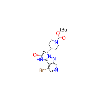 CC(C)(C)OC(=O)N1CCC(c2cc(=O)[nH]c3c4c(Br)cncc4nn23)CC1